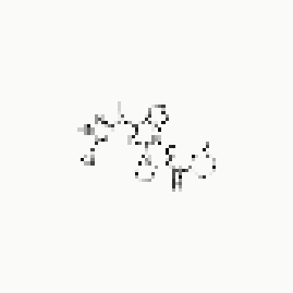 CN1CCC[C@@H](NC(=O)[C@@H]2CCCN2c2nc(Nc3cc(C4CC4)[nH]n3)c3cccn3n2)C1